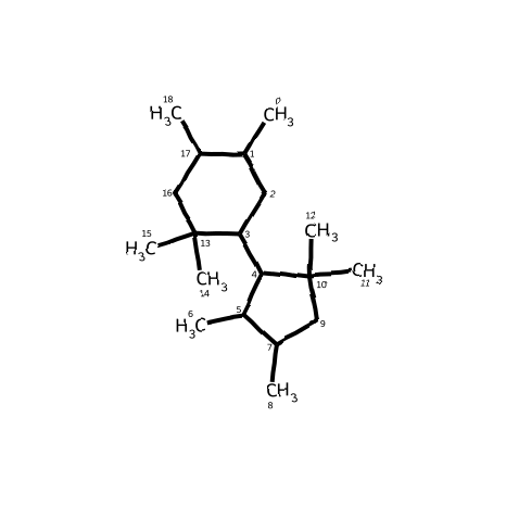 CC1CC(C2C(C)C(C)CC2(C)C)C(C)(C)CC1C